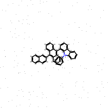 c1ccc(-n2c3ccccc3c3cccc(-c4c5ccccc5c(-c5ccc6ccccc6c5)c5ccccc45)c32)cc1